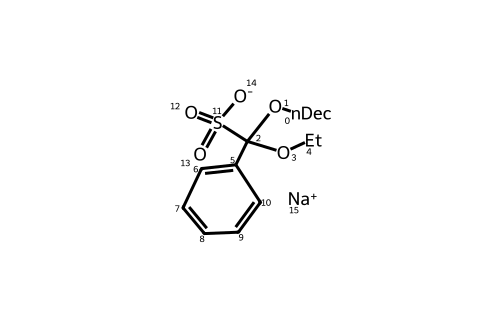 CCCCCCCCCCOC(OCC)(c1ccccc1)S(=O)(=O)[O-].[Na+]